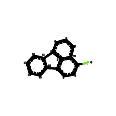 Fc1ccc2c3c(cccc13)-c1ccccc1-2